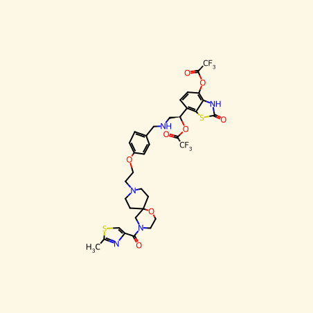 Cc1nc(C(=O)N2CCOC3(CCN(CCOc4ccc(CNC[C@H](OC(=O)C(F)(F)F)c5ccc(OC(=O)C(F)(F)F)c6[nH]c(=O)sc56)cc4)CC3)C2)cs1